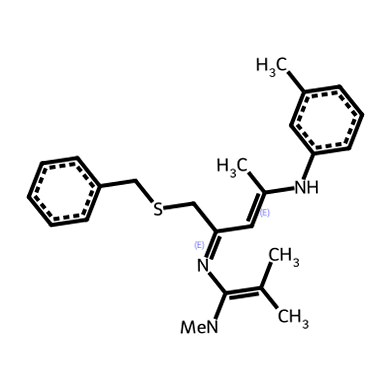 CNC(/N=C(\C=C(/C)Nc1cccc(C)c1)CSCc1ccccc1)=C(C)C